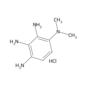 CN(C)c1ccc(N)c(N)c1N.Cl